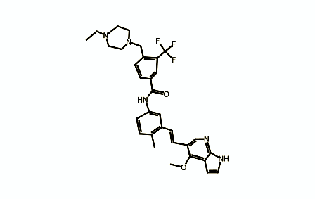 CCN1CCN(Cc2ccc(C(=O)Nc3ccc(C)c(/C=C/c4cnc5[nH]ccc5c4OC)c3)cc2C(F)(F)F)CC1